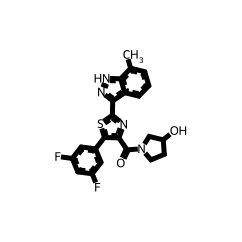 Cc1cccc2c(-c3nc(C(=O)N4CCC(O)C4)c(-c4cc(F)cc(F)c4)s3)n[nH]c12